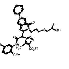 CCCCC(CC)COCCCn1c(C(C(=O)Nc2cc(Cl)ccc2OC)n2nnc(C(=O)OCC)c2C)nc2cn(-c3ccccc3)cc2c1=O